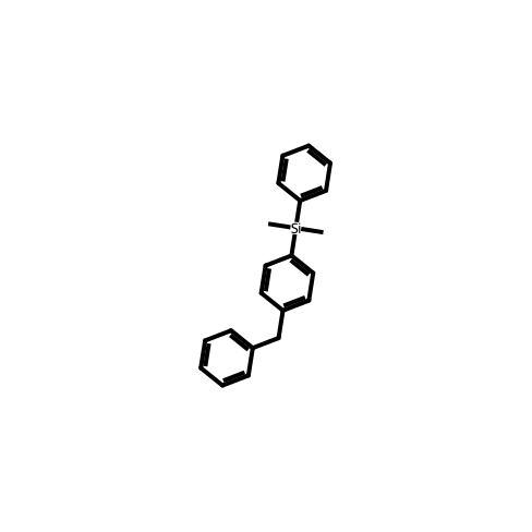 C[Si](C)(c1ccccc1)c1ccc(Cc2ccccc2)cc1